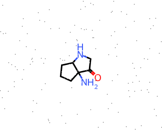 NC12CCCC1NCC2=O